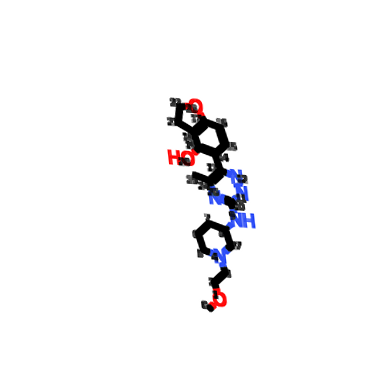 COCCN1CCC[C@@H](Nc2nnc(-c3ccc4c(c3O)CCO4)c(C)n2)C1